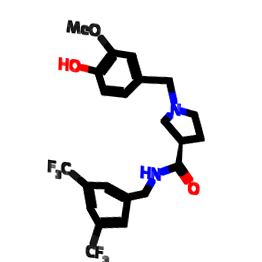 COc1cc(CN2CC[C@@H](C(=O)NCc3cc(C(F)(F)F)cc(C(F)(F)F)c3)C2)ccc1O